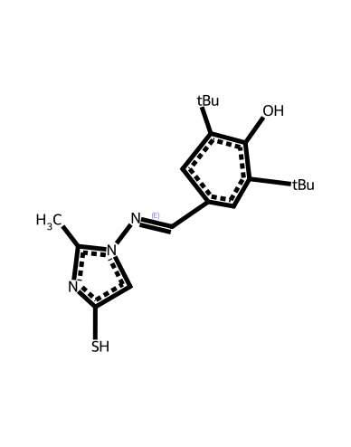 Cc1nc(S)cn1/N=C/c1cc(C(C)(C)C)c(O)c(C(C)(C)C)c1